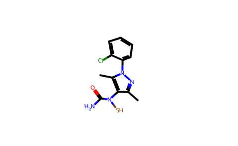 Cc1nn(-c2ccccc2Cl)c(C)c1N(S)C(N)=O